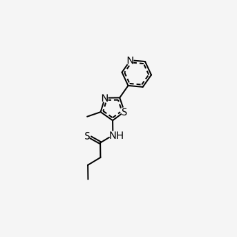 CCCC(=S)Nc1sc(-c2cccnc2)nc1C